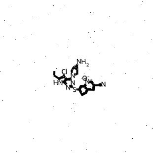 CCc1[nH]c2nc(Sc3ccc4cc(C#N)c[n+]([O-])c4c3)nc(N3CC4C(N)C4C3)c2c1Cl